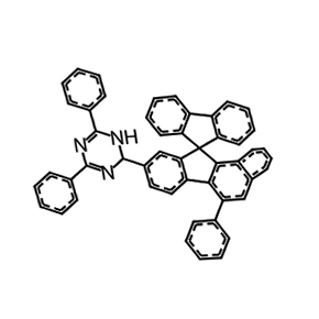 c1ccc(C2=NC(c3ccc4c(c3)C3(c5ccccc5-c5ccccc53)c3c-4c(-c4ccccc4)cc4ccccc34)NC(c3ccccc3)=N2)cc1